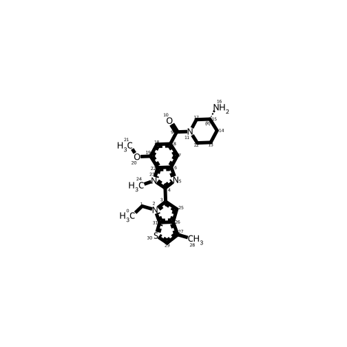 CCn1c(-c2nc3cc(C(=O)N4CCC[C@@H](N)C4)cc(OC)c3n2C)cc2c(C)csc21